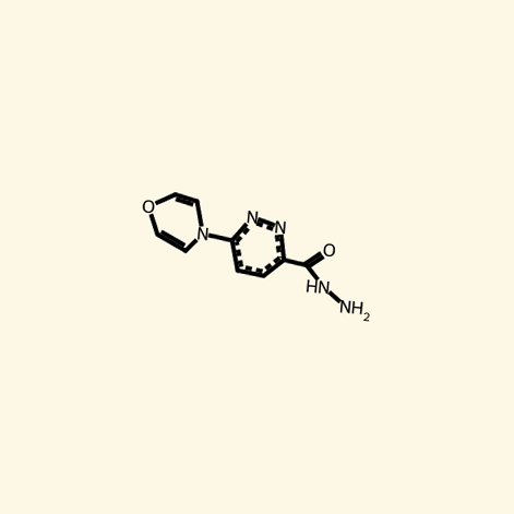 NNC(=O)c1ccc(N2C=COC=C2)nn1